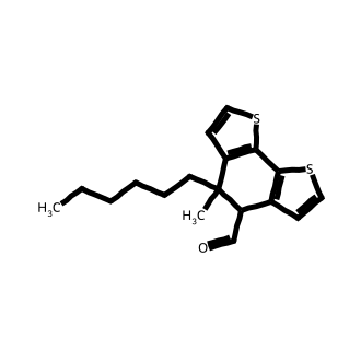 CCCCCCC1(C)c2ccsc2-c2sccc2C1C=O